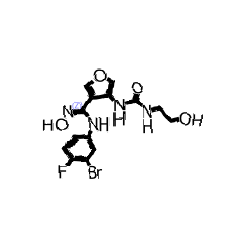 O=C(NCCO)Nc1cocc1/C(=N/O)Nc1ccc(F)c(Br)c1